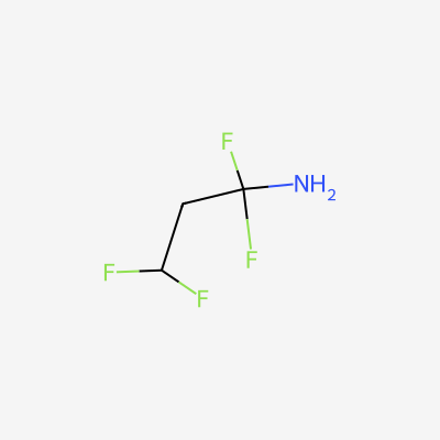 NC(F)(F)CC(F)F